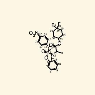 CC(NP(=O)(Oc1ccccc1)Oc1ccc([N+](=O)[O-])cc1)C(=O)OC1CCC(F)(F)CC1